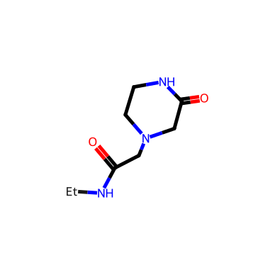 CCNC(=O)CN1CCNC(=O)C1